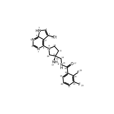 CCc1c[nH]c2ncnc(N3CC[C@](N)(CNC(=O)c4cccc(F)c4F)C3)c12